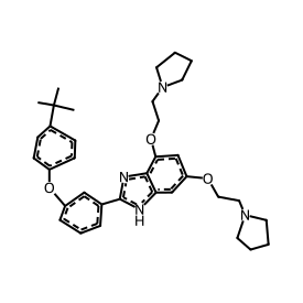 CC(C)(C)c1ccc(Oc2cccc(-c3nc4c(OCCN5CCCC5)cc(OCCN5CCCC5)cc4[nH]3)c2)cc1